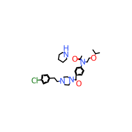 C1CCNCC1.CC(=O)N(CCOC(C)C)c1ccc(C(=O)N2CCN(CCc3ccc(Cl)cc3)CC2)cc1